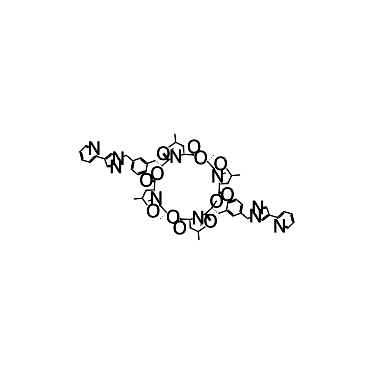 CC(C)C[C@H]1C(=O)O[C@H](Cc2cccc(Cn3cc(-c4ccccn4)cn3)c2)C(=O)N(C)[C@@H](CC(C)C)C(=O)O[C@H](C)C(=O)N(C)[C@@H](CC(C)C)C(=O)O[C@H](Cc2cccc(Cn3cc(-c4ccccn4)cn3)c2)C(=O)N(C)[C@@H](CC(C)C)C(=O)O[C@H](C)C(=O)N1C